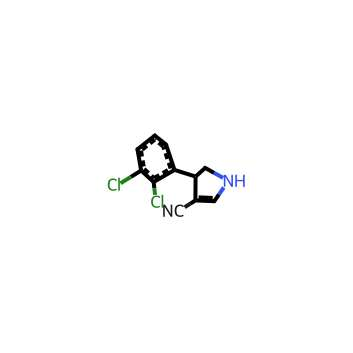 N#CC1=CNCC1c1cccc(Cl)c1Cl